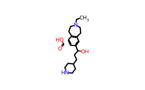 CCN1CCc2ccc(C(O)CCC3CCNCC3)cc2CC1.O=CO